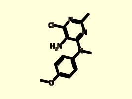 COc1ccc(N(C)c2nc(C)nc(Cl)c2N)cc1